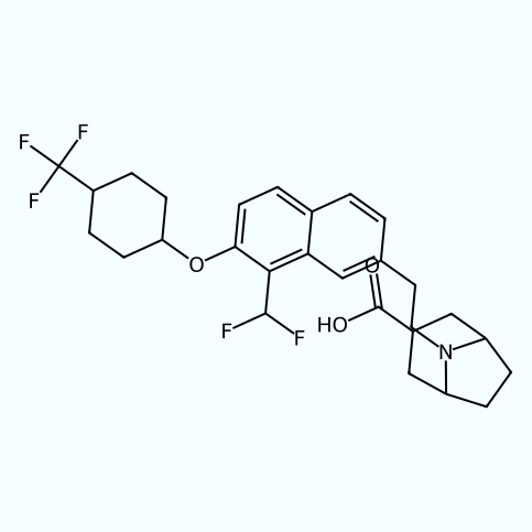 O=C(O)C1CC2CCC(C1)N2CCc1ccc2ccc(OC3CCC(C(F)(F)F)CC3)c(C(F)F)c2c1